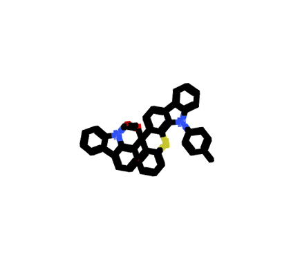 Cc1ccc(-n2c3ccccc3c3ccc4c(c32)Sc2ccccc2C42c3ccccc3-n3c4ccccc4c4cccc2c43)cc1